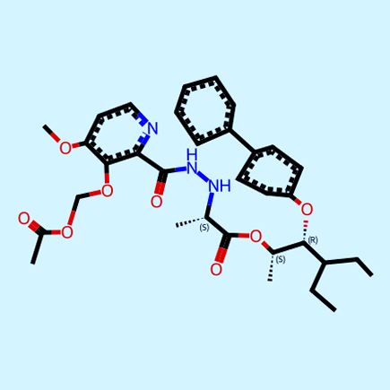 CCC(CC)[C@@H](Oc1ccc(-c2ccccc2)cc1)[C@H](C)OC(=O)[C@H](C)NNC(=O)c1nccc(OC)c1OCOC(C)=O